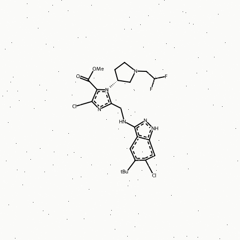 COC(=O)c1c(Cl)nc(CNc2n[nH]c3cc(Cl)c(C(C)(C)C)cc23)n1[C@@H]1CCN(CC(F)F)C1